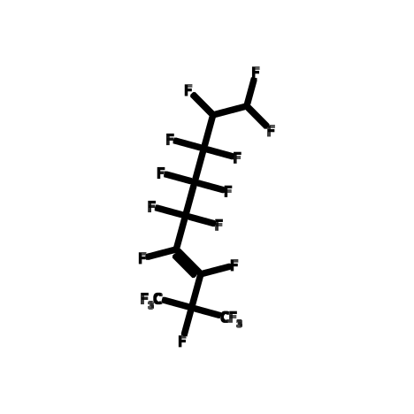 FC(=C(F)C(F)(C(F)(F)F)C(F)(F)F)C(F)(F)C(F)(F)C(F)(F)C(F)C(F)F